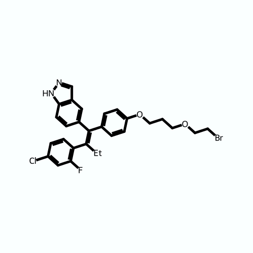 CCC(=C(c1ccc(OCCCOCCBr)cc1)c1ccc2[nH]ncc2c1)c1ccc(Cl)cc1F